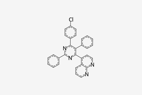 Clc1ccc(-c2nc(-c3ccccc3)nc(-c3ccnc4ncccc34)c2-c2ccccc2)cc1